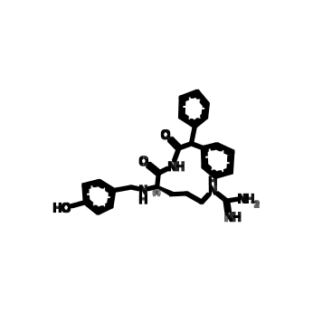 N=C(N)NCCC[C@@H](NCc1ccc(O)cc1)C(=O)NC(=O)C(c1ccccc1)c1ccccc1